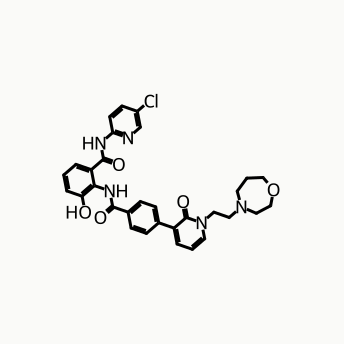 O=C(Nc1c(O)cccc1C(=O)Nc1ccc(Cl)cn1)c1ccc(-c2cccn(CCN3CCCOCC3)c2=O)cc1